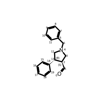 O=C[C@@H]1CN(Cc2ccccc2)C[C@H]1c1ccccc1